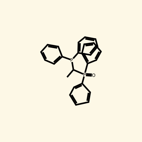 CC(P(c1ccccc1)c1ccccc1)P(=O)(c1ccccc1)c1ccccc1